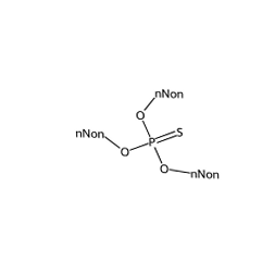 CCCCCCCCCOP(=S)(OCCCCCCCCC)OCCCCCCCCC